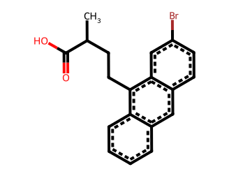 CC(CCc1c2ccccc2cc2ccc(Br)cc12)C(=O)O